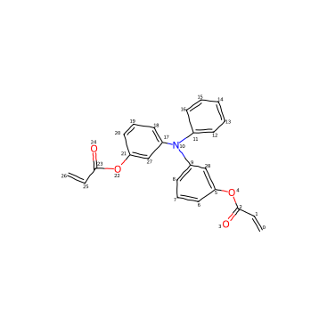 C=CC(=O)Oc1cccc(N(c2ccccc2)c2cccc(OC(=O)C=C)c2)c1